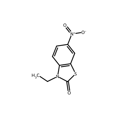 CCn1c(=O)sc2cc([N+](=O)[O-])ccc21